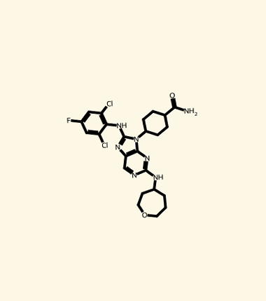 NC(=O)C1CCC(n2c(Nc3c(Cl)cc(F)cc3Cl)nc3cnc(NC4CCCOCC4)nc32)CC1